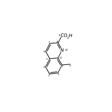 Cc1cccc2ccc(C(=O)O)nc12